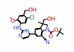 COc1cc(CO)c(Cl)cc1Nc1nccc(-c2cc(C#N)c3c(c2)C(C)(CO)CN3C(=O)OC(C)(C)C)n1